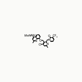 CNNc1cc(C)nc2c(OCc3c(Cl)cc(C)nc3Cn3cccc(C(F)(F)F)c3=O)cccc12